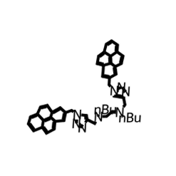 CCCCN(CCN(CCCC)Cc1cn(Cc2cc3ccc4cccc5ccc(c2)c3c45)nn1)Cc1cn(Cc2cc3ccc4cccc5ccc(c2)c3c45)nn1